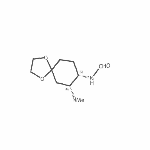 CN[C@@H]1CC2(CC[C@@H]1NC=O)OCCO2